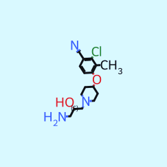 Cc1c(OC2CCN(C[C@@H](O)CN)CC2)ccc(C#N)c1Cl